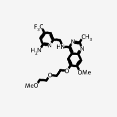 COCCOCCOc1cc2c(NCc3cc(C(F)(F)F)cc(N)n3)nc(C)nc2cc1OC